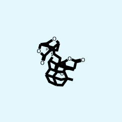 Cc1c2c3oc1c(CCC1C4C[C@@]5(CCC6C7CC8CC6CC(C)(C8)C7)C(=O)OC1C5O4)c3C(=O)O2